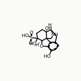 O=S(=O)(O)C1(O)CC[C@@]2(O)[C@H]3Cc4ccc(O)c5c4C2(CCN3)[C@H]1O5